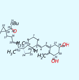 C=C1/C(=C\C=C2/CCC[C@]3(C)[C@@H]([C@H](C)/C=C/CCC4(C(=O)CCCC)CC4)CC[C@@H]23)C[C@@H](O)C[C@@H]1O